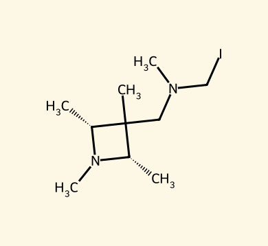 C[C@@H]1N(C)[C@H](C)C1(C)CN(C)CI